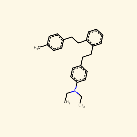 CCN(CC)c1ccc(CCc2ccccc2CCc2ccc(C)cc2)cc1